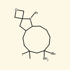 BC1(C(C)CC)CCCCC2C(CCC(C)(I)C1)CC1(COC1)N2C(C)C